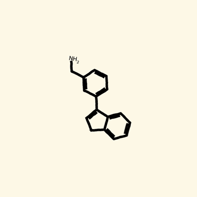 NCc1cccc(C2=C[CH]c3ccccc32)c1